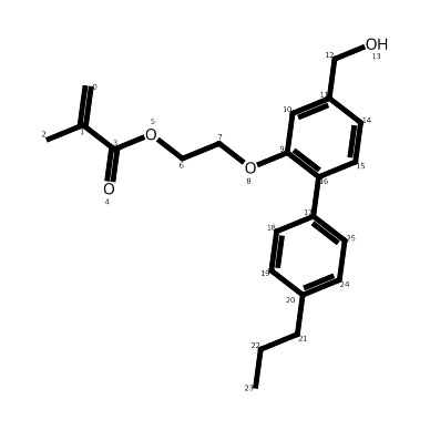 C=C(C)C(=O)OCCOc1cc(CO)ccc1-c1ccc(CCC)cc1